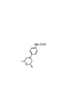 CC1CN(c2ccc(NC=O)cc2)C[C@@H](C)O1